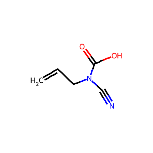 C=CCN(C#N)C(=O)O